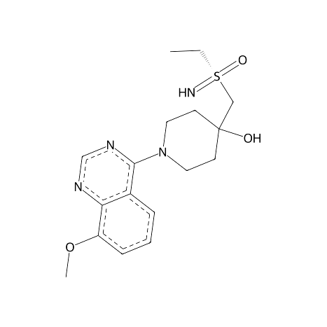 CC[S@](=N)(=O)CC1(O)CCN(c2ncnc3c(OC)cccc23)CC1